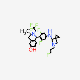 C[C@@H]1Cc2cc(O)ccc2C(c2c(F)cc(NC3CN(CCCF)CC34CC4)cc2F)N1CC(F)(F)F